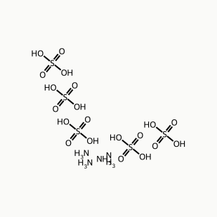 N.N.N.N.O=S(=O)(O)O.O=S(=O)(O)O.O=S(=O)(O)O.O=S(=O)(O)O.O=S(=O)(O)O